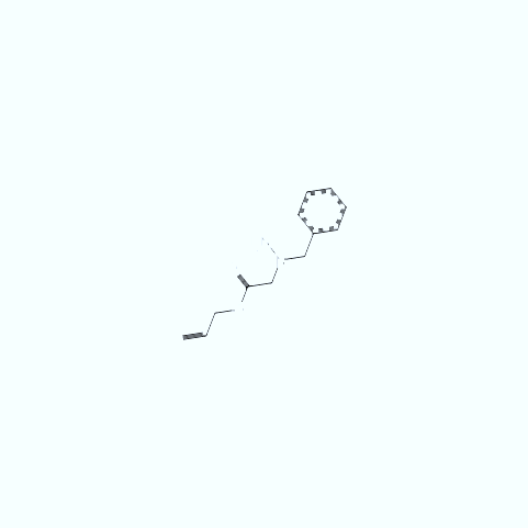 C=CCOC(=O)CN(N)Cc1ccccc1